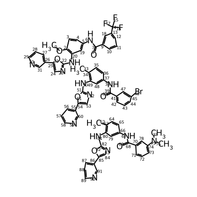 COc1ccc(NC(=O)c2cccc(C(F)(F)F)c2)cc1Nc1ncc(-c2cccnc2)o1.Cc1ccc(NC(=O)c2cccc(Br)c2)cc1Nc1ncc(-c2cccnc2)o1.Cc1ccc(NC(=O)c2cccc(N(C)C)c2)cc1Nc1ncc(-c2cccnc2)o1